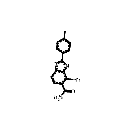 CCCc1c(C(N)=O)ccc2oc(-c3ccc(C)cc3)nc12